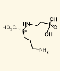 NCCC[C@@H](NCCP(=O)(O)O)C(=O)O